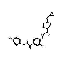 Cc1cc(C(=O)NCc2ccc(Cl)cc2)ccc1CNC(=O)C1CCN(CC2CC2)CC1